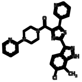 Cc1c(Cl)ccc2c(-c3nc(C(=O)N4CCN(c5ccccn5)CC4)c(-c4cccnc4)s3)n[nH]c12